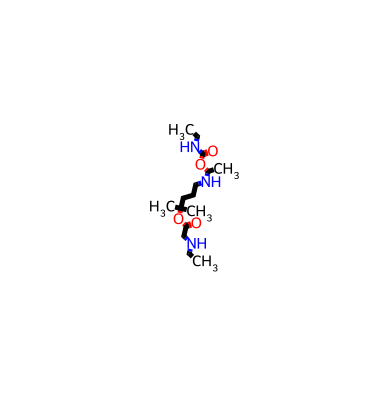 CCNCC(=O)OC(C)(C)CCCNC(C)OC(=O)NCC